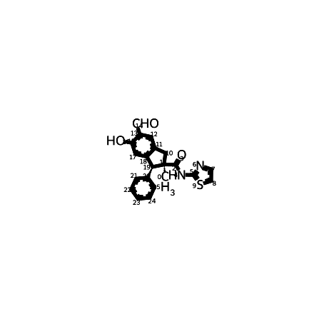 C[C@@]1(C(=O)Nc2nccs2)Cc2cc(C=O)c(O)cc2[C@@H]1c1ccccc1